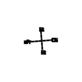 CCCC(C#N)(CC)CC